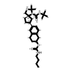 CCCCNC(=O)OC1CCc2cc([C@H]3CC[C@]4(COC(C)(C)N4C(=O)OC(C)(C)C)C3)ccc2C1